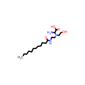 CCCCCCCCCCCC(=O)NCCN(CCO)C(N)C(=O)O